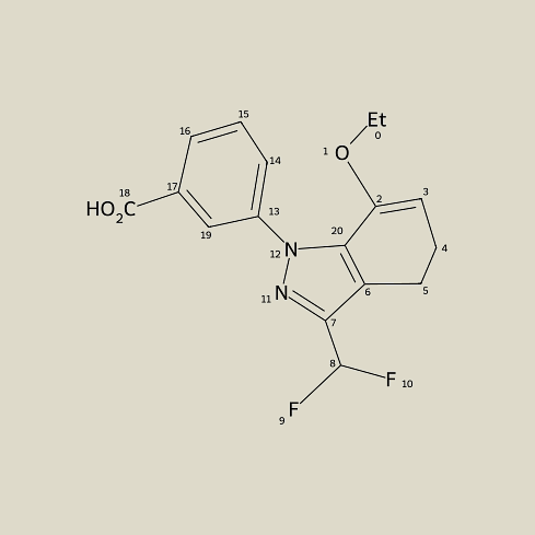 CCOC1=CCCc2c(C(F)F)nn(-c3cccc(C(=O)O)c3)c21